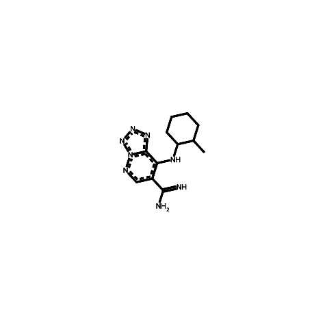 CC1CCCCC1Nc1c(C(=N)N)cnn2nnnc12